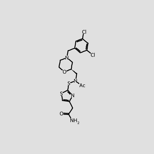 CC(=O)N(C[C@@H]1CN(Cc2cc(Cl)cc(Cl)c2)CCO1)Sc1nc(CC(N)=O)cs1